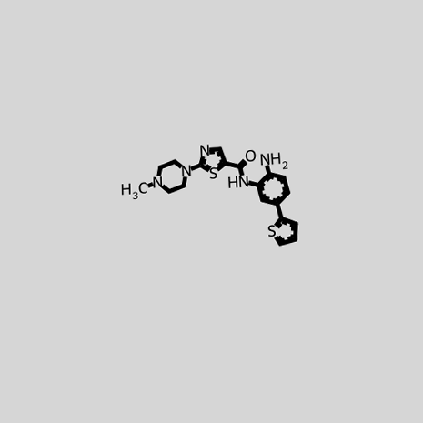 CN1CCN(c2ncc(C(=O)Nc3cc(-c4cccs4)ccc3N)s2)CC1